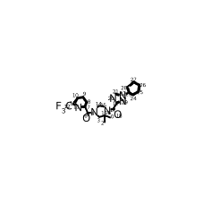 CC1(C)CN(C(=O)c2cccc(C(F)(F)F)n2)CCN1C(=O)c1ncn(-c2ccccc2)n1